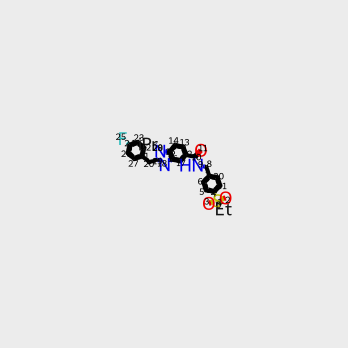 CCS(=O)(=O)c1ccc(CNC(=O)c2ccc3c(c2)nc(Cc2ccc(F)cc2)n3C(C)C)cc1